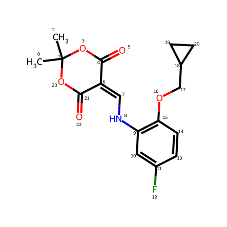 CC1(C)OC(=O)C(=CNc2cc(F)ccc2OCC2CC2)C(=O)O1